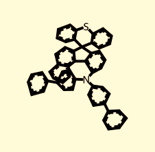 c1ccc(-c2ccc(N(c3ccc(-c4ccccc4)cc3)c3cccc4c3-c3c(ccc5ccccc35)C43c4ccccc4Sc4ccccc43)cc2)cc1